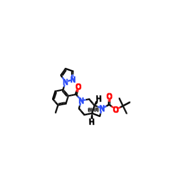 Cc1ccc(-n2cccn2)c(C(=O)N2CC[C@H]3CN(C(=O)OC(C)(C)C)[C@H]3C2)c1